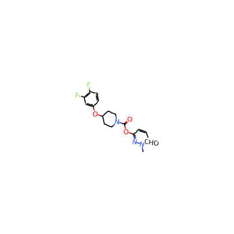 C/C=C\C(=N/N(C)C=O)OC(=O)N1CCC(Oc2ccc(F)c(F)c2)CC1